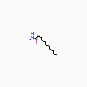 CCCCCCCCC[C@@H](C)[C@H](I)NC